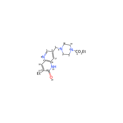 CCOC(=O)N1CCN(Cc2cnc3cc(CC)c(=O)[nH]c3c2)CC1